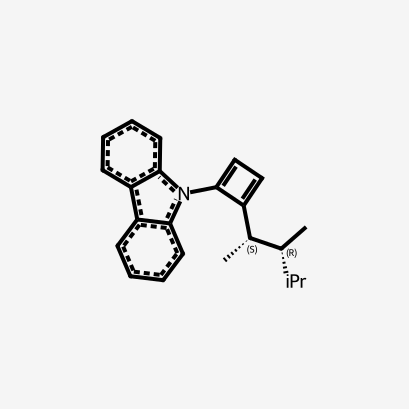 CC(C)[C@@H](C)[C@H](C)C1=CC=C1n1c2ccccc2c2ccccc21